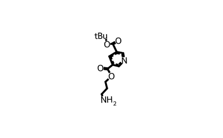 CC(C)(C)OC(=O)c1cncc(C(=O)OCCCN)c1